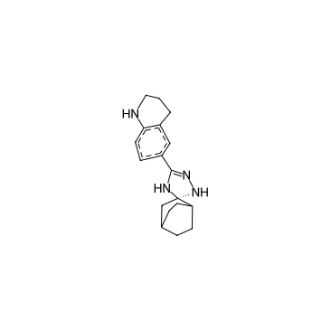 c1cc2c(cc1C1=NN[C@]3(CC4CCC3CC4)N1)CCCN2